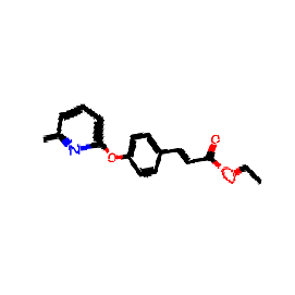 CCOC(=O)C=Cc1ccc(Oc2cccc(C)n2)cc1